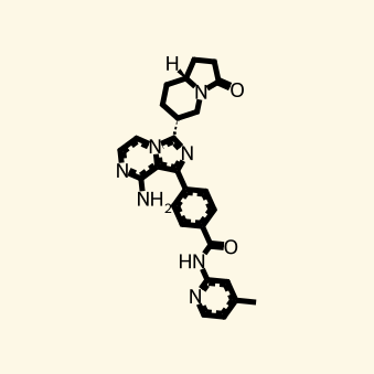 Cc1ccnc(NC(=O)c2ccc(-c3nc([C@@H]4CC[C@@H]5CCC(=O)N5C4)n4ccnc(N)c34)cc2)c1